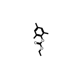 CCOC(=O)Oc1c(C)cc(C)cc1C